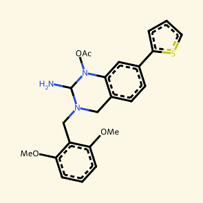 COc1cccc(OC)c1CN1Cc2ccc(-c3cccs3)cc2N(OC(C)=O)C1N